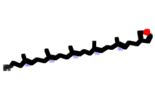 C/C(=C\CC/C(C)=C/CC/C(C)=C/CCc1ccoc1)CC/C=C(\C)CC/C=C(\C)CCC(C)C